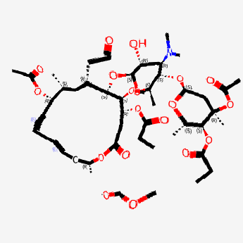 CCC(=O)O[C@@H]1CC(=O)O[C@H](C)C/C=C/C=C/[C@H](OC(C)=O)[C@H](C)C[C@H](CC=O)[C@H](O[C@@H]2O[C@H](C)[C@@H](O[C@H]3C[C@@](C)(OC(C)=O)[C@@H](OC(=O)CC)[C@H](C)O3)[C@H](N(C)C)[C@H]2O)[C@H]1OC.COC[O]